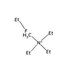 CC[N+](C)(CC)CC.[CH2]CF